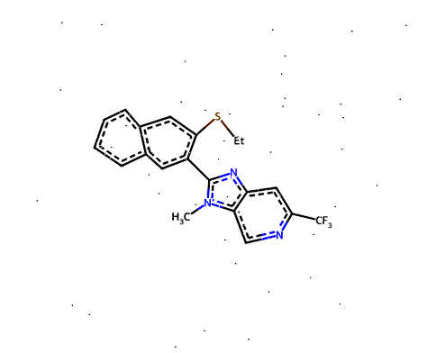 CCSc1cc2ccccc2cc1-c1nc2cc(C(F)(F)F)ncc2n1C